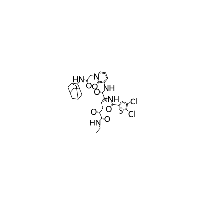 CCNC(=O)C(=O)CC[C@H](NC(=O)c1cc(Cl)c(Cl)s1)C(=O)Nc1cccn(CC(=O)NC2C3CC4CC(C3)CC2C4)c1=O